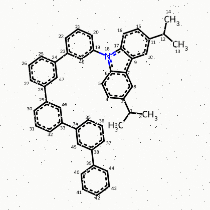 CC(C)c1ccc2c(c1)c1cc(C(C)C)ccc1n2-c1cccc(-c2cccc(-c3cccc(-c4cccc(-c5ccccc5)c4)c3)c2)c1